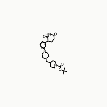 CC(C)(C)OC(=O)N1CCC(CN2CCN(c3cc(C4CCC(=O)NC4=O)ccn3)CC2)CC1